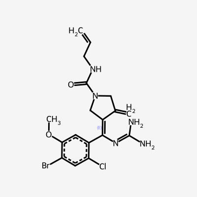 C=CCNC(=O)N1CC(=C)/C(=C(\N=C(N)N)c2cc(OC)c(Br)cc2Cl)C1